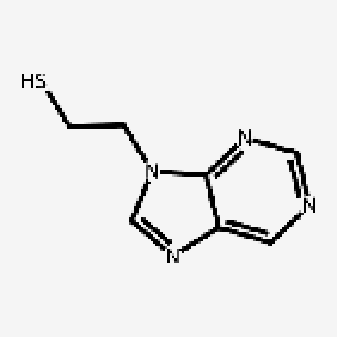 SCCn1cnc2cncnc21